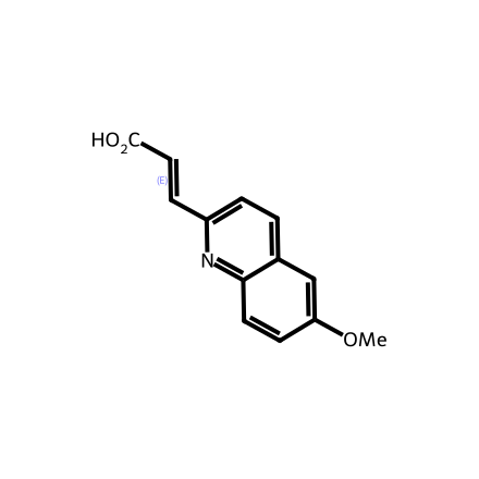 COc1ccc2nc(/C=C/C(=O)O)ccc2c1